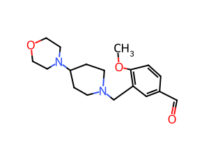 COc1ccc(C=O)cc1CN1CCC(N2CCOCC2)CC1